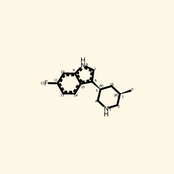 C[C@H]1CNC[C@@H](c2c[nH]c3cc(F)ccc23)C1